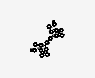 C1=CCC(C2(c3ccc(Sc4ccc5c(c4)CC5)cc3)c3ccccc3-c3ccc(N(c4ccc(-c5ccccc5)cc4)c4ccc(-c5ccc(N(c6ccc(-c7ccccc7)cc6)c6ccc7c(c6)C(c6ccccc6)(c6ccc(Sc8ccc9c(c8)CC9)cc6)C6C=CC=CC76)cc5)cc4)cc32)C=C1